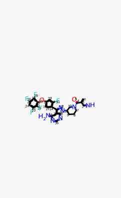 C=C(C=N)C(=O)N1CCCC(n2nc(-c3ccc(Oc4c(F)c(F)cc(F)c4F)cc3F)c3c(N)ncnc32)C1